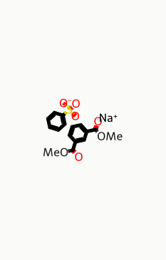 COC(=O)c1cccc(C(=O)OC)c1.O=S(=O)([O-])c1ccccc1.[Na+]